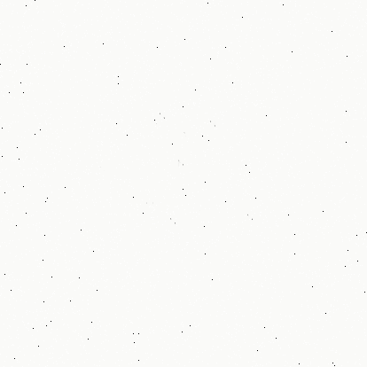 COCCN(C(=N)N)c1c([N+](=O)[O-])cnc2ccccc12